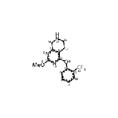 COc1nc2c(c(Oc3ccccc3C(F)(F)F)n1)CCNC2